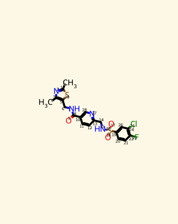 Cc1nc(C)c(CNC(=O)c2ccc(CNS(=O)(=O)c3ccc(F)c(Cl)c3)nc2)s1